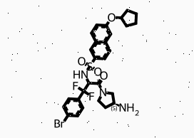 N[C@H]1CCN(C(=O)C(NS(=O)(=O)c2ccc3cc(OC4CCCC4)ccc3c2)C(F)(F)c2ccc(Br)cc2)C1